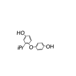 CC(C)c1cc(O)ccc1Oc1ccc(O)cc1